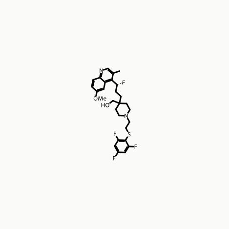 COc1ccc2ncc(C)c([C@H](F)CCC3(CO)CCN(CCSc4c(F)cc(F)cc4F)CC3)c2c1